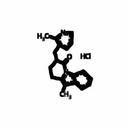 Cc1ncccc1CC1CCc2c(C)c3ccccc3n2C1=O.Cl